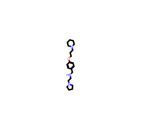 c1cc(OCCCN2CCCCC2)ccc1CNCCN1CCCC1